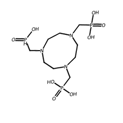 O=[PH](O)CN1CCN(CP(=O)(O)O)CCN(CP(=O)(O)O)CC1